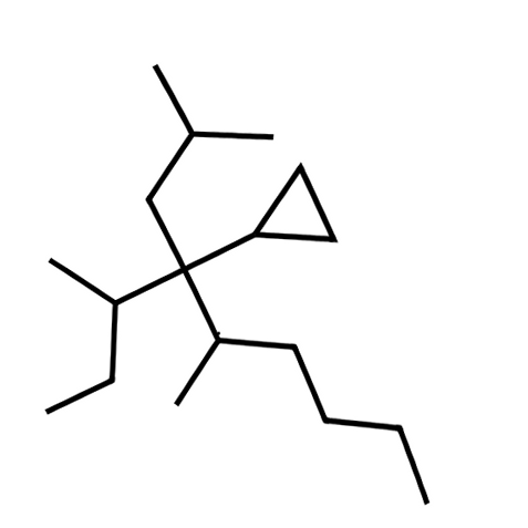 CCCC[C](C)C(CC(C)C)(C(C)CC)C1CC1